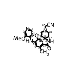 COc1cncnc1Nc1cc(C)c2n(c1=O)C1(CCN(CC#N)CC1)NC2=O